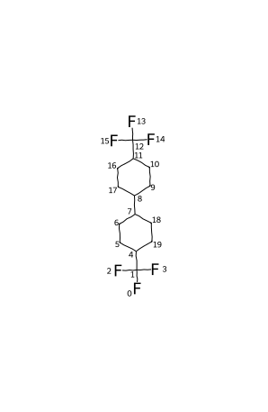 FC(F)(F)C1CCC(C2CCC(C(F)(F)F)CC2)CC1